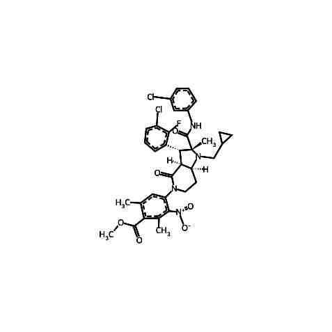 COC(=O)c1c(C)cc(N2CC[C@H]3[C@@H](C2=O)[C@H](c2cccc(Cl)c2F)[C@](C)(C(=O)Nc2cccc(Cl)c2)N3CC2CC2)c([N+](=O)[O-])c1C